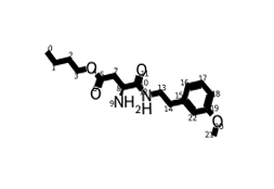 CCCCOC(=O)C[C@H](N)C(=O)NCCc1cccc(OC)c1